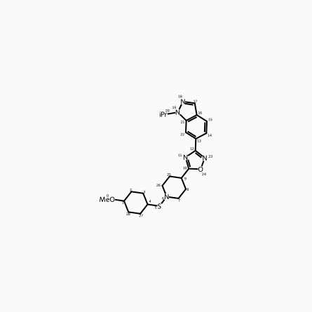 COC1CCC(SN2CCC(c3nc(-c4ccc5cnn(C(C)C)c5c4)no3)CC2)CC1